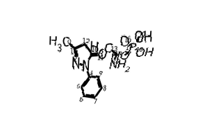 CC1=NN(c2ccccc2)C(=O)C1.CCN.O=P(O)(O)O